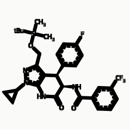 CC(C)(C)[Si](C)(C)OCc1nn(C2CC2)c2c1[C@@H](c1ccc(F)cc1)[C@@H](NC(=O)c1cccc(C(F)(F)F)c1)C(=O)N2